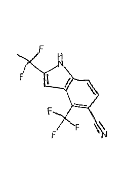 CC(F)(F)c1cc2c(C(F)(F)F)c(C#N)ccc2[nH]1